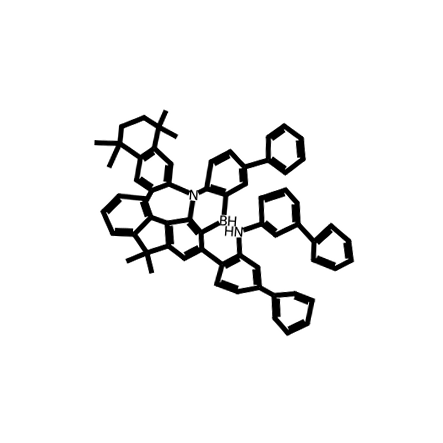 Cc1cc2c(cc1N1c3ccc(-c4ccccc4)cc3Bc3c(-c4ccc(-c5ccccc5)cc4Nc4cccc(-c5ccccc5)c4)cc4c(c31)-c1ccccc1C4(C)C)C(C)(C)CCC2(C)C